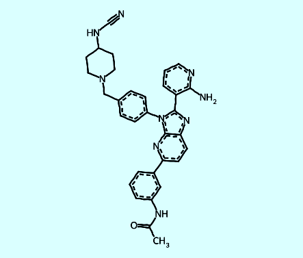 CC(=O)Nc1cccc(-c2ccc3nc(-c4cccnc4N)n(-c4ccc(CN5CCC(NC#N)CC5)cc4)c3n2)c1